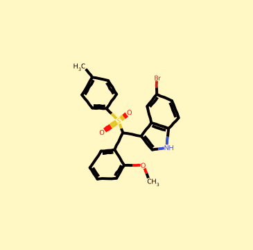 COc1ccccc1C(c1c[nH]c2ccc(Br)cc12)S(=O)(=O)c1ccc(C)cc1